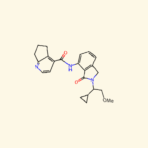 COCC(C1CC1)N1Cc2cccc(NC(=O)c3ccnc4c3CCC4)c2C1=O